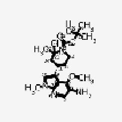 COc1c(N)cnc2c1c([C@H]1CCN(C(=O)OC(C)(C)C)C(C)(C)C1)cn2C